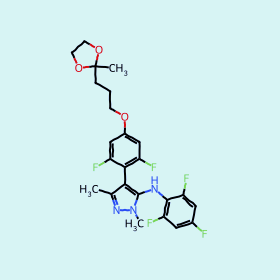 Cc1nn(C)c(Nc2c(F)cc(F)cc2F)c1-c1c(F)cc(OCCCC2(C)OCCO2)cc1F